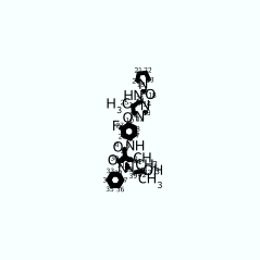 Cc1c(C(=O)Nc2ccc(OC3=NC=NC(NC(=O)N4CCCC4)C3C)c(F)c2)c(=O)n(-c2ccccc2)n1CC(C)(C)O